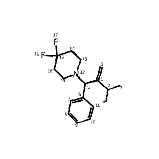 C=C(C(C)C)C(c1ccccc1)N1CCC(F)(F)CC1